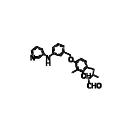 Cc1c(OCc2cccc(Nc3cccnc3)c2)ccc(CC(C)CC=O)c1O